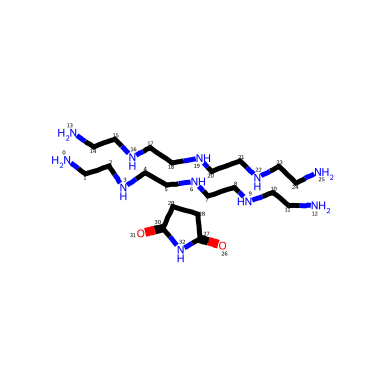 NCCNCCNCCNCCN.NCCNCCNCCNCCN.O=C1CCC(=O)N1